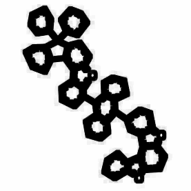 c1ccc(C2(c3ccccc3)c3ccccc3-c3c2ccc2oc4c(-c5c6ccccc6c(-c6ccc7oc8ccc9oc%10ccccc%10c9c8c7c6)c6ccccc56)cccc4c32)cc1